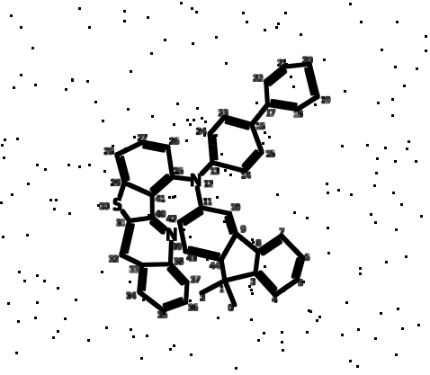 CC1(C)c2ccccc2-c2cc(N(c3ccc(-c4ccccc4)cc3)c3cccc4sc5cc6ccccc6nc5c34)ccc21